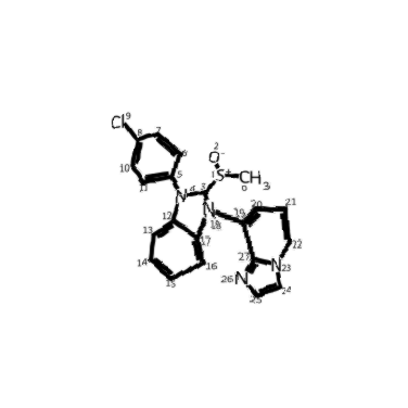 C[S+]([O-])C1N(c2ccc(Cl)cc2)c2ccccc2N1c1cccn2ccnc12